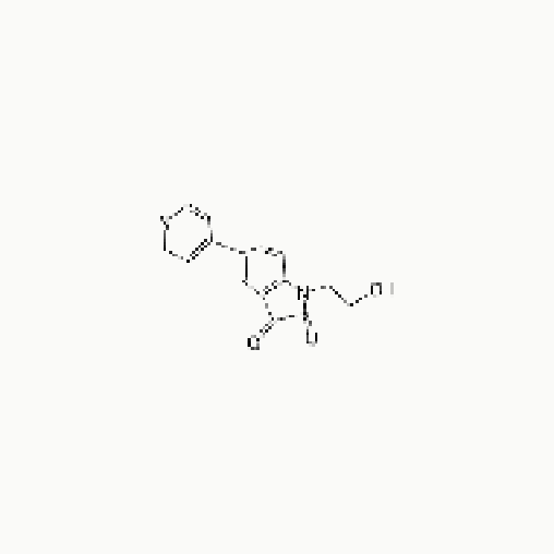 O=C1C(=O)N(CCO)c2ccc(-c3ccncc3)cc21